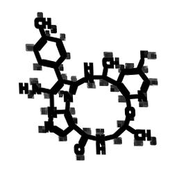 Cc1ccc(-c2c3nc4c(cnn4c2N)C(=O)NCC(C)Oc2ncc(F)cc2C(C)N3)cc1